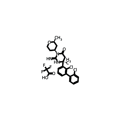 C[C@H]1C[C@@H](N2C(=N)N[C@](C)(c3cccc(-c4ccccc4Cl)c3Cl)CC2=O)CCO1.O=C(O)C(F)(F)F